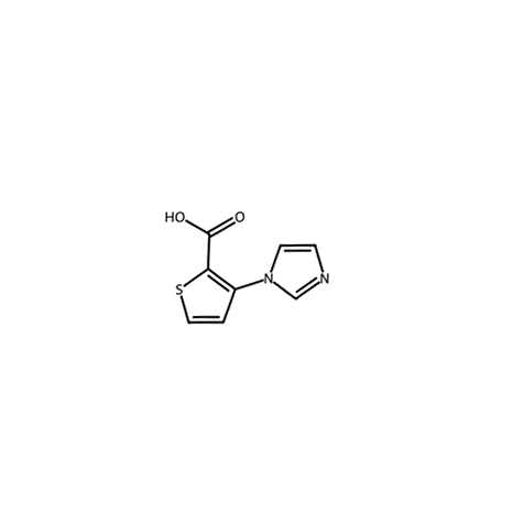 O=C(O)c1sccc1-n1ccnc1